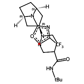 CC(C)(C)NC(=O)C1CCN([C@H]2C[C@H]3CC[C@@H](C2)N3c2nc(C(F)(F)F)no2)CC1